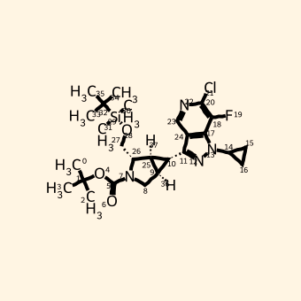 CC(C)(C)OC(=O)N1C[C@@H]2[C@@H](c3nn(C4CC4)c4c(F)c(Cl)ncc34)[C@@H]2[C@H]1CO[Si](C)(C)C(C)(C)C